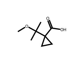 COC(C)(C)C1(C(=O)O)CC1